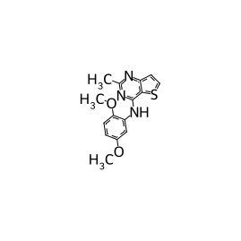 COc1ccc(OC)c(Nc2nc(C)nc3ccsc23)c1